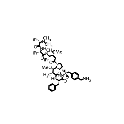 CO[C@H]([C@@H](C)C(=O)N[C@@H](Cc1ccccc1)C(=O)NS(=O)(=O)Cc1ccc(CN)cc1)[C@@H]1CCCN1C(=O)C[C@@H](OC)[C@H](C(C)C)N(C)C(=O)[C@@H](NC(=O)[C@H](C(C)C)N(C)C)C(C)C